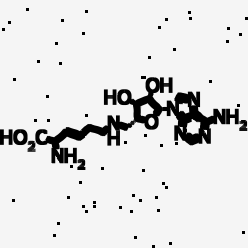 Nc1ncnc2c1ncn2[C@@H]1O[C@H](CNCC/C=C/C(N)C(=O)O)[C@@H](O)[C@H]1O